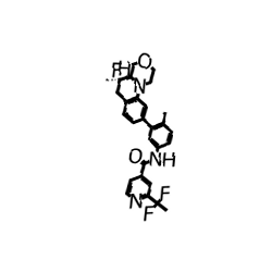 Cc1ccc(NC(=O)c2ccnc(C(C)(F)F)c2)cc1-c1ccc2c(c1)N1CCOC[C@H]1[C@](C)(F)C2